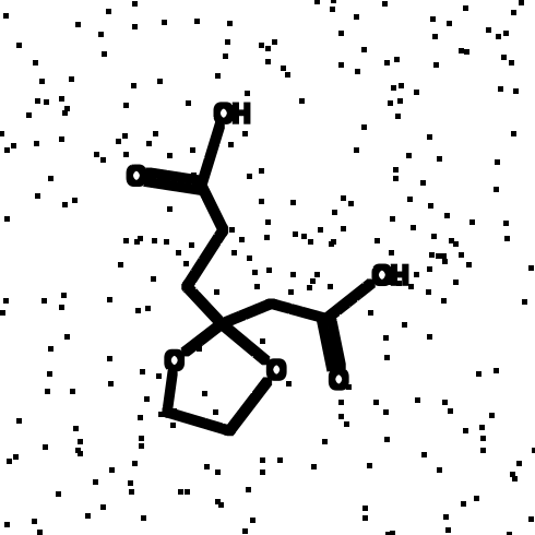 O=C(O)CCC1(CC(=O)O)OCCO1